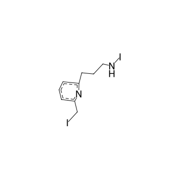 ICc1cccc(CCCNI)n1